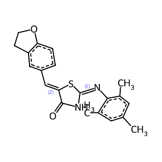 Cc1cc(C)c(/N=C2\NC(=O)/C(=C/c3ccc4c(c3)CCO4)S2)c(C)c1